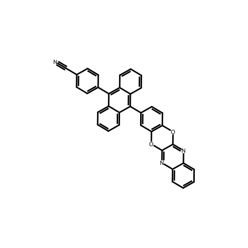 N#Cc1ccc(-c2c3ccccc3c(-c3ccc4c(c3)Oc3nc5ccccc5nc3O4)c3ccccc23)cc1